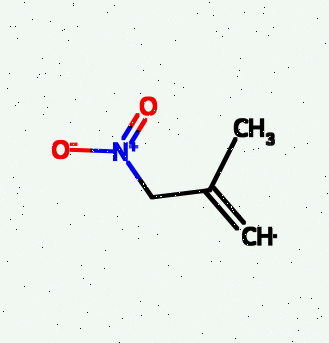 [CH]=C(C)C[N+](=O)[O-]